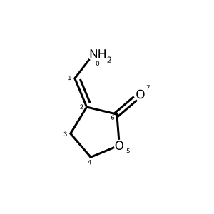 NC=C1CCOC1=O